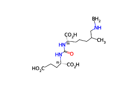 BNCC(C)CCC[C@H](NC(=O)N[C@@H](CCC(=O)O)C(=O)O)C(=O)O